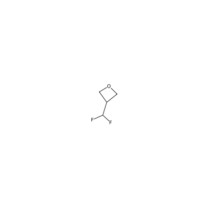 FC(F)C1COC1